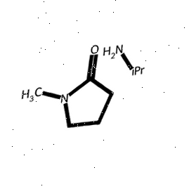 CC(C)N.CN1CCCC1=O